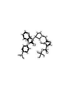 CN(C)c1ccc(-n2c(=O)n([C@H]3CCN(Cc4ncc(C(=O)OC(C)(C)C)n4C)C3)c3ncccc32)cc1